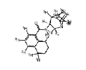 [2H]c1c([2H])c2c3c(c1[2H])C([2H])([2H])CC[C@@H]3CN([C@@H]1C([2H])([2H])N3C([2H])([2H])C([2H])([2H])C1([2H])C([2H])([2H])C3([2H])[2H])C2=O